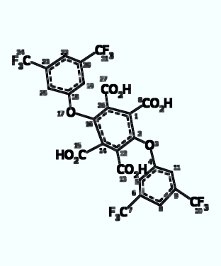 O=C(O)c1c(Oc2cc(C(F)(F)F)cc(C(F)(F)F)c2)c(C(=O)O)c(C(=O)O)c(Oc2cc(C(F)(F)F)cc(C(F)(F)F)c2)c1C(=O)O